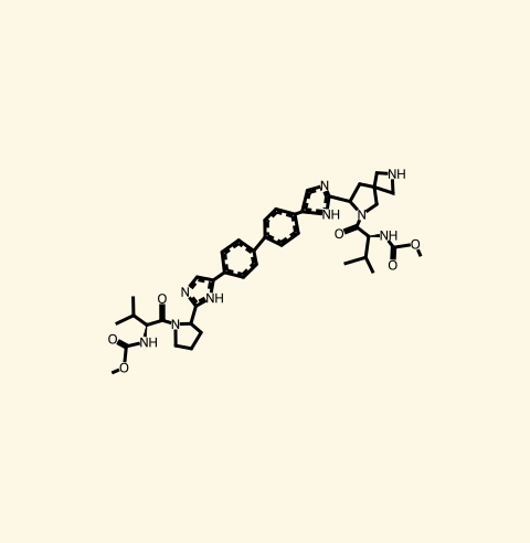 COC(=O)N[C@H](C(=O)N1CCCC1c1ncc(-c2ccc(-c3ccc(-c4cnc(C5CC6(CNC6)CN5C(=O)[C@@H](NC(=O)OC)C(C)C)[nH]4)cc3)cc2)[nH]1)C(C)C